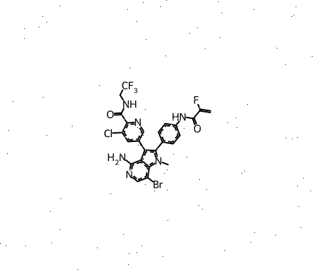 C=C(F)C(=O)Nc1ccc(-c2c(-c3cnc(C(=O)NCC(F)(F)F)c(Cl)c3)c3c(N)ncc(Br)c3n2C)cc1